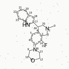 CN1Cc2c(ccc(N3CCOCC3)c2F)C(c2cc3ccccc3[nH]2)C1